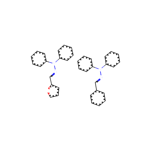 C(=N\N(c1ccccc1)c1ccccc1)/c1ccccc1.C(=N\N(c1ccccc1)c1ccccc1)/c1ccco1